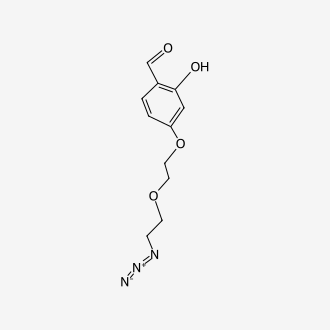 [N-]=[N+]=NCCOCCOc1ccc(C=O)c(O)c1